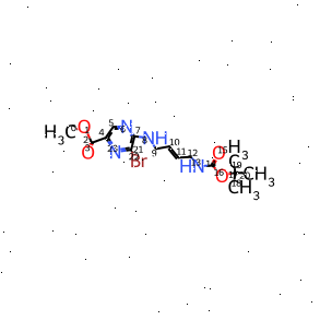 COC(=O)c1cnc(NCC=CCNC(=O)OC(C)(C)C)c(Br)n1